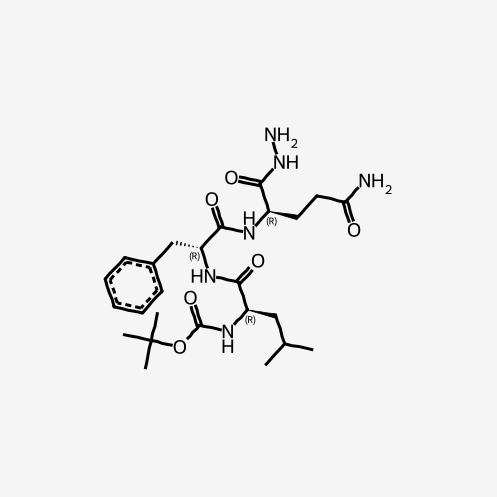 CC(C)C[C@@H](NC(=O)OC(C)(C)C)C(=O)N[C@H](Cc1ccccc1)C(=O)N[C@H](CCC(N)=O)C(=O)NN